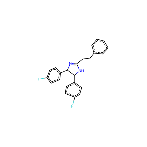 Fc1ccc(C2N=C(CCc3ccccc3)NC2c2ccc(F)cc2)cc1